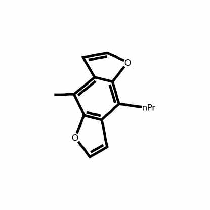 CCCc1c2ccoc2c(C)c2ccoc12